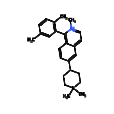 Cc1ccc(C)c(-c2c3ccc(C4CC[Si](C)(C)CC4)cc3cc[n+]2C)c1